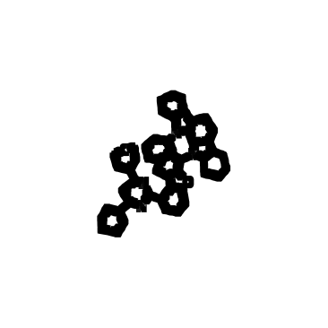 C1=Cc2c(c3ccc4c5ccccc5n(-c5ccccc5)c4c3n2-c2cccc3c2oc2cccc(-c4nc(-c5ccccc5)cc(-c5ccccc5)n4)c23)CC1